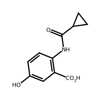 O=C(O)c1cc(O)ccc1NC(=O)C1CC1